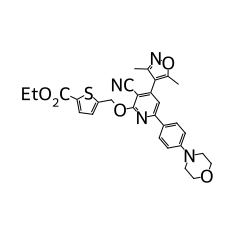 CCOC(=O)c1ccc(COc2nc(-c3ccc(N4CCOCC4)cc3)cc(-c3c(C)noc3C)c2C#N)s1